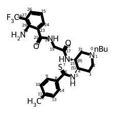 CCCCN1CC[C@H](NC(=S)c2ccc(C)cc2)[C@H](NC(=O)CNC(=O)c2cccc(C(F)(F)F)c2N)C1